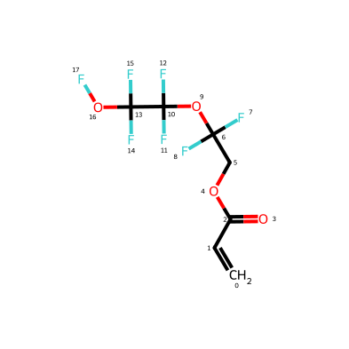 C=CC(=O)OCC(F)(F)OC(F)(F)C(F)(F)OF